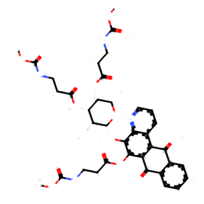 C[C@@H]1O[C@H](Oc2c(OC(=O)CCNC(=O)OC(C)(C)C)c3c(c4cccnc24)C(=O)c2ccccc2C3=O)[C@@H](F)[C@H](OC(=O)CCNC(=O)OC(C)(C)C)[C@@H]1OC(=O)CCNC(=O)OC(C)(C)C